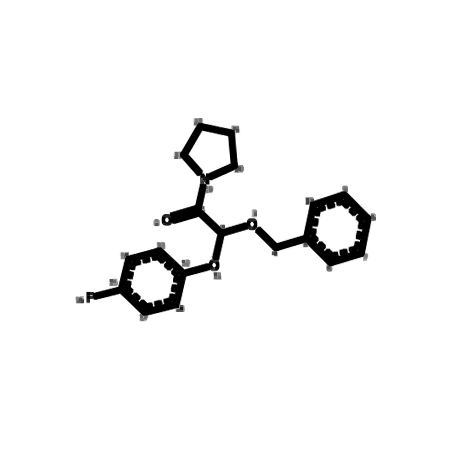 O=C(C(OCc1ccccc1)Oc1ccc(F)cc1)N1CCCC1